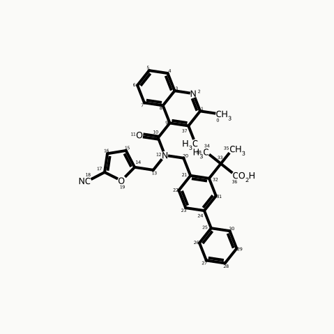 Cc1nc2ccccc2c(C(=O)N(Cc2ccc(C#N)o2)Cc2ccc(-c3ccccc3)cc2C(C)(C)C(=O)O)c1C